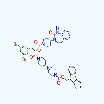 O=C(OCC1c2ccccc2-c2ccccc21)N1CCN(C2CCN(C(=O)C(Cc3cc(Br)cc(Br)c3)OC(=O)N3CCC(N4CCc5ccccc5NC4=O)CC3)CC2)CC1